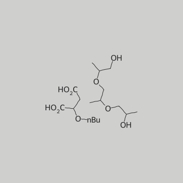 CC(O)COC(C)COC(C)CO.CCCCOC(CC(=O)O)C(=O)O